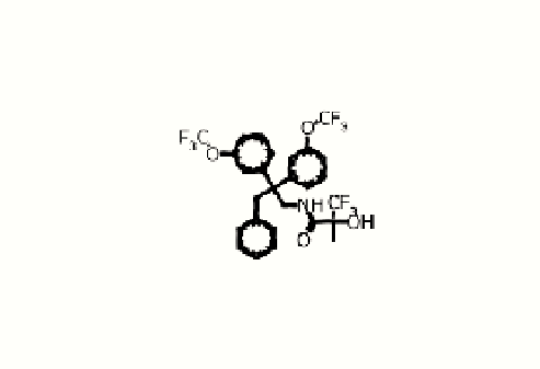 C[C@@](O)(C(=O)NCC(Cc1ccccc1)(c1cccc(OC(F)(F)F)c1)c1cccc(OC(F)(F)F)c1)C(F)(F)F